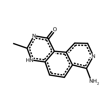 Cc1nc(=O)c2c(ccc3c(N)nccc32)[nH]1